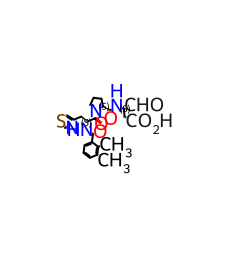 Cc1cccc(C(=O)N[C@@H](Cc2cscn2)C(=O)N2CCC[C@H]2C(=O)N[C@H](C=O)CC(=O)O)c1C